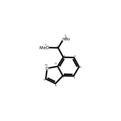 CCCCC(OC)c1cccc2ccoc12